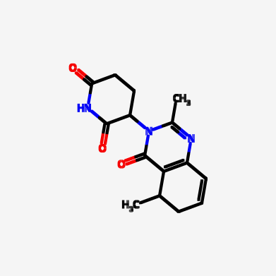 Cc1nc2c(c(=O)n1C1CCC(=O)NC1=O)C(C)CC=C2